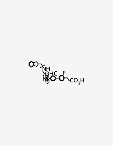 CN(C[C@H](O)CNC(C)(C)CC1Cc2ccccc2C1)S(=O)(=O)c1ccc(-c2ccc(CCC(=O)O)c(F)c2)c(Cl)c1